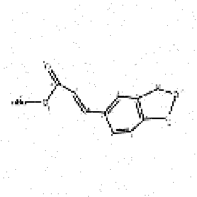 CCCCOC(=O)C=Cc1ccc2c(c1)COO2